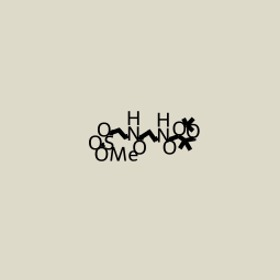 COC(=O)SC(=O)CCNC(=O)CCNC(=O)C1OC(C)(C)OCC1(C)C